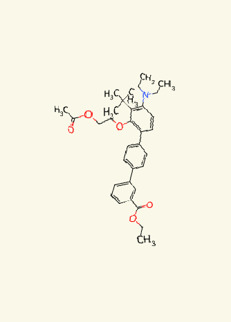 CCOC(=O)c1cccc(-c2ccc(-c3ccc(N(CC)CC)c(C(C)(C)C)c3OCCOC(C)=O)cc2)c1